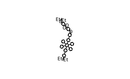 CCC(C)(CC)Oc1ccc(S(=O)(=O)c2ccc(Oc3ccc(-c4ccc(-c5c(-c6ccccc6)c(-c6ccccc6)c(-c6ccc(-c7ccc(C(C)(CC)CC)cc7)cc6)c(-c6ccccc6)c5-c5ccccc5)cc4)cc3)cc2)cc1